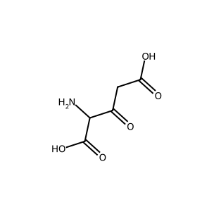 NC(C(=O)O)C(=O)CC(=O)O